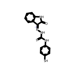 O=C1Nc2ccccc2/C1=N/NC(=S)Nc1ccc(S)cc1